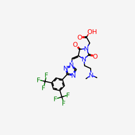 CN(C)CCN1C(=O)N(CC(=O)O)C(=O)C1=Cn1cnc(-c2cc(C(F)(F)F)cc(C(F)(F)F)c2)n1